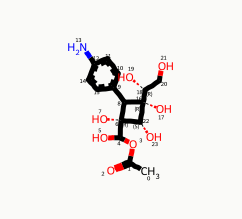 CC(=O)OC(O)[C@@]1(O)C(c2ccc(N)cc2)[C@@](O)([C@H](O)CO)[C@@H]1O